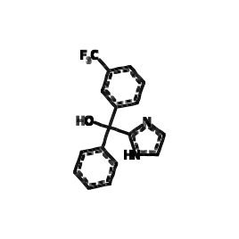 OC(c1ccccc1)(c1cccc(C(F)(F)F)c1)c1ncc[nH]1